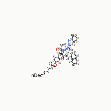 CCCCCCCCCCCCCCCC(=O)Oc1ccc(C[C@H]2C(=O)N(Cc3cccc4ccccc34)CC3N(C(=O)NCc4ccccc4)CCC(=O)N32)cc1